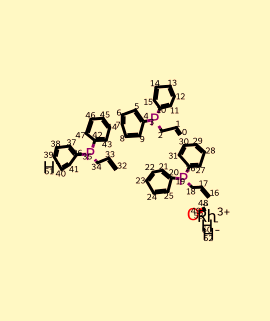 C=CCP(c1ccccc1)c1ccccc1.C=CCP(c1ccccc1)c1ccccc1.C=CCP(c1ccccc1)c1ccccc1.[C]=O.[H-].[H-].[H-].[Rh+3]